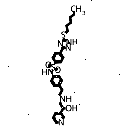 CCCCCCSc1nc(-c2ccc(S(=O)(=O)Nc3ccc(CCNCC(O)c4cccnc4)cc3)cc2)n[nH]1